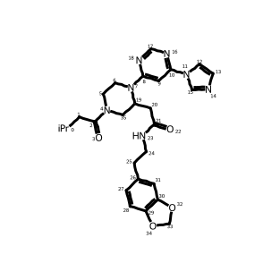 CC(C)CC(=O)N1CCN(c2cc(-n3ccnc3)ncn2)C(CC(=O)NCCc2ccc3c(c2)OCO3)C1